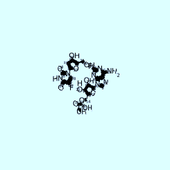 Nc1nc(F)nc2c1ncn2[C@@H]1O[C@H](COP(=O)(O)O)[C@@H](O)[C@@H]1O.O=c1[nH]c(=O)n([C@H]2C[C@H](O)[C@@H](CO)O2)cc1F